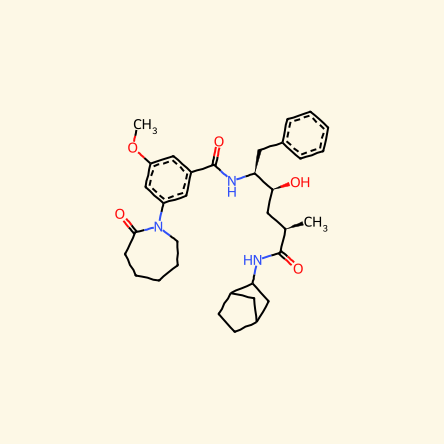 COc1cc(C(=O)N[C@@H](Cc2ccccc2)[C@@H](O)C[C@@H](C)C(=O)NC2CC3CCC2C3)cc(N2CCCCCC2=O)c1